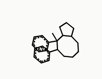 CC1(c2ccccc2)[C]2CCCC2CCCCC1c1ccccc1